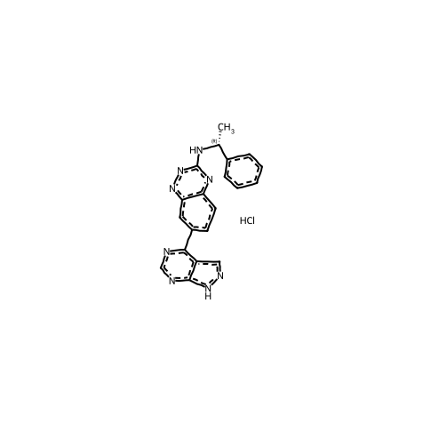 C[C@@H](Nc1nnc2cc(-c3ncnc4[nH]ncc34)ccc2n1)c1ccccc1.Cl